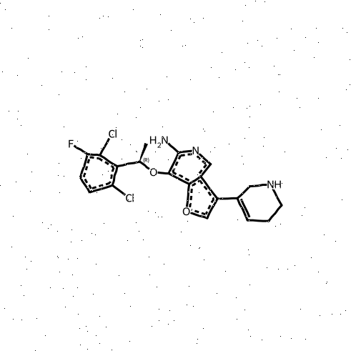 C[C@@H](Oc1c(N)ncc2c(C3=CCCNC3)coc12)c1c(Cl)ccc(F)c1Cl